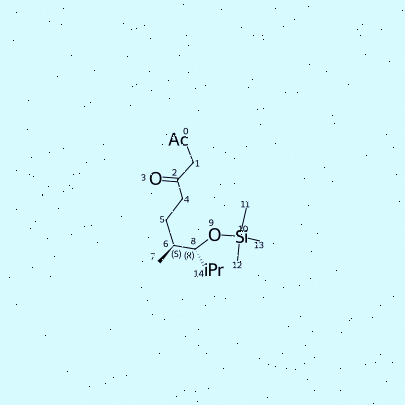 CC(=O)CC(=O)CC[C@H](C)[C@H](O[Si](C)(C)C)C(C)C